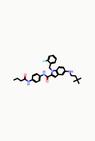 CCCC(=O)Nc1ccc(NC(=O)c2cc3cc(NCCC(C)(C)C)ccc3n2Cc2ccccc2F)cc1